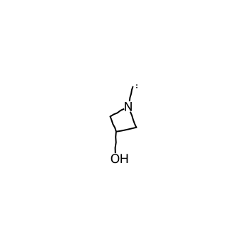 [CH]N1CC(O)C1